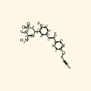 CC#CCOc1cnc(/C(F)=C/c2ccc(F)c(C3CS(=O)(=O)N(C)C(N)=N3)c2)cn1